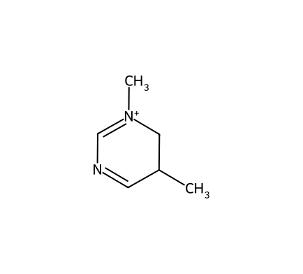 CC1C=NC=[N+](C)C1